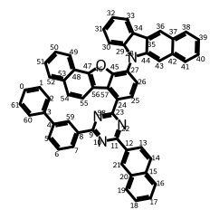 c1ccc(-c2cccc(-c3nc(-c4ccc5ccccc5c4)nc(-c4ccc(-n5c6ccccc6c6cc7ccccc7cc65)c5oc6c7ccccc7ccc6c45)n3)c2)cc1